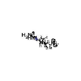 Cc1cc(/C=N/NC(N)=S)c(C)n1-c1cccc([N+](=O)[O-])c1